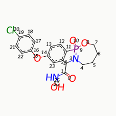 O=C(CN1CCCCOP1(=O)c1ccc(Oc2ccc(Cl)cc2)cc1)NO